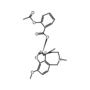 COc1ccc2c3c1OC1C[C@@H](OC(=O)c4ccccc4OC(C)=O)C(C)[C@@]31CCN(C)C2